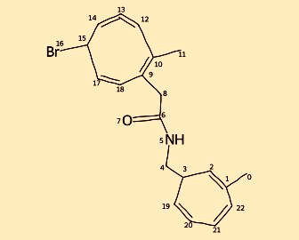 CC1=CC(CNC(=O)C/C2=C(\C)C=C=CC(Br)C=C2)C=CC=C1